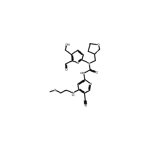 COCCNc1cc(NC(=O)N(CC2CCOC2)c2ccc(CO)c(C=O)n2)ncc1C#N